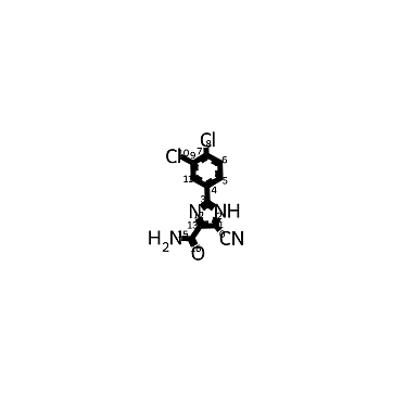 N#Cc1[nH]c(-c2ccc(Cl)c(Cl)c2)nc1C(N)=O